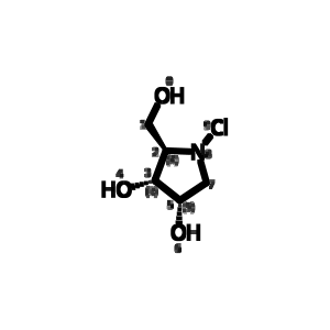 OC[C@@H]1[C@@H](O)[C@@H](O)CN1Cl